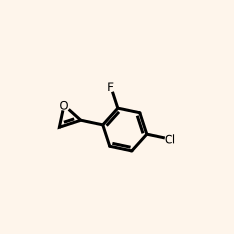 Fc1cc(Cl)ccc1C1=CO1